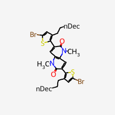 CCCCCCCCCCCCc1cc(Br)sc1-c1cc2c(cc(-c3sc(Br)cc3CCCCCCCCCCCC)c(=O)n2C)n(C)c1=O